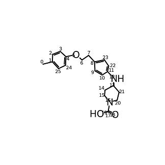 Cc1ccc(OCCc2ccc(NC3CCN(C(=O)O)CC3)cc2)cc1